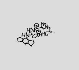 C[C@H](O)Cn1cnc(S(=O)(=O)NC(O)Nc2c3c(cc4c2CCC4)CCC3)c1